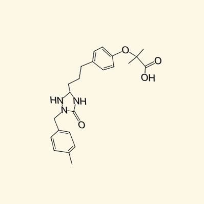 Cc1ccc(CN2NC(CCCc3ccc(OC(C)(C)C(=O)O)cc3)NC2=O)cc1